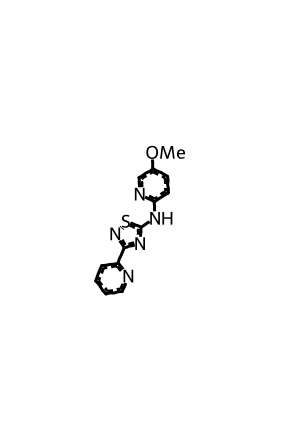 COc1ccc(Nc2nc(-c3ccccn3)ns2)nc1